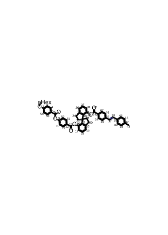 CCCCCCOc1ccc(C(=O)Oc2ccc(C(=O)Oc3cccc4c3[C@@]3(CCc5cccc(OC(=O)c6ccc(/C=C/c7ccc(C)cc7)cc6)c53)CC4)cc2)cc1